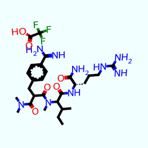 CCC(C)C(C(=O)N[C@@H](CCCNC(=N)N)C(N)=O)N(C)C(=O)C(Cc1ccc(C(=N)N)cc1)C(=O)N(C)C.O=C(O)C(F)(F)F